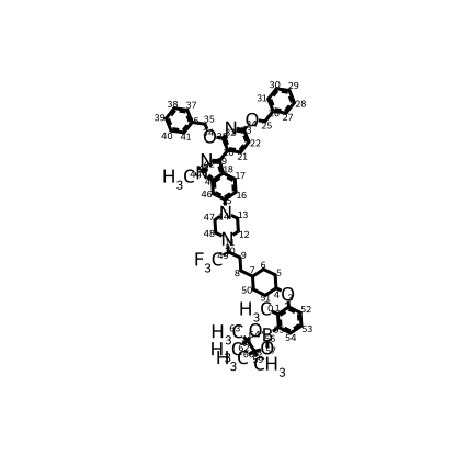 Cc1c(OC2CCC(CC[C@H](N3CCN(c4ccc5c(-c6ccc(OCc7ccccc7)nc6OCc6ccccc6)nn(C)c5c4)CC3)C(F)(F)F)CC2)cccc1B1OC(C)(C)C(C)(C)O1